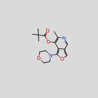 Cc1ncc2coc(N3CCOCC3)c2c1OC(=O)C(C)(C)C